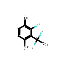 CCCc1ccc(C)c(F)c1C(C)(F)F